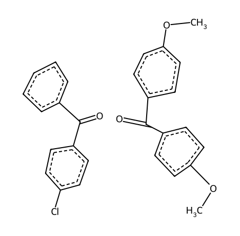 COc1ccc(C(=O)c2ccc(OC)cc2)cc1.O=C(c1ccccc1)c1ccc(Cl)cc1